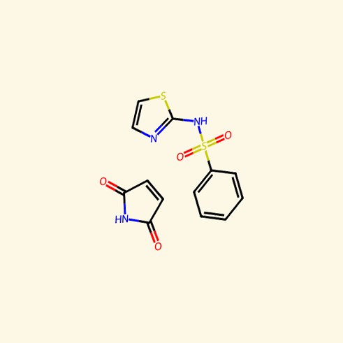 O=C1C=CC(=O)N1.O=S(=O)(Nc1nccs1)c1ccccc1